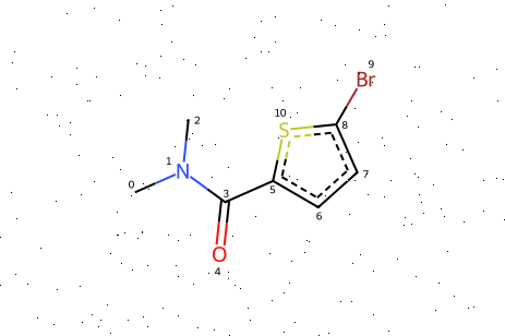 CN(C)C(=O)c1ccc(Br)s1